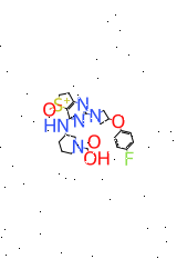 O=C(O)N1CCC[C@H](Nc2nc(N3CC(Oc4ccc(F)cc4)C3)nc3c2[S+]([O-])CC3)C1